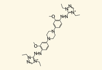 CCn1nc[n+](CC)c1N=Nc1ccc(N2CCN(c3ccc(N=Nc4n(CC)nc[n+]4CC)c(OC)c3)CC2)cc1OC